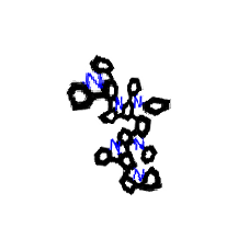 c1ccc(-n2c3ccccc3c3c2c(-c2cccc4c2c2ccc5c(c6cc7c(c8cccc9c%10ccccc%10n7c98)c7c8ccccc8n5c67)c2n4-c2ccccc2)cc2c4cccc5c6c7c8ccccc8n8c9ccccc9c(cc6n(c45)c23)c78)cc1